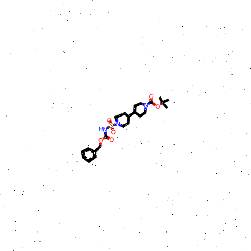 CC(C)(C)OC(=O)N1CCC(C2CCN(S(=O)(=O)NC(=O)OCc3ccccc3)CC2)CC1